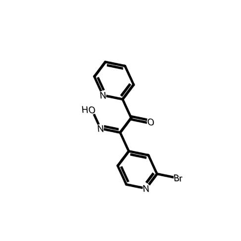 O=C(C(=NO)c1ccnc(Br)c1)c1ccccn1